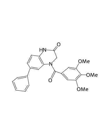 COc1cc(C(=O)N2CC(=O)Nc3ccc(-c4ccccc4)cc32)cc(OC)c1OC